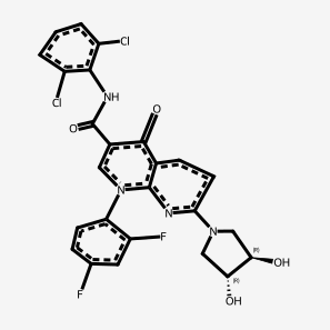 O=C(Nc1c(Cl)cccc1Cl)c1cn(-c2ccc(F)cc2F)c2nc(N3C[C@@H](O)[C@H](O)C3)ccc2c1=O